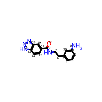 Nc1cccc(CCNC(=O)c2ccc3[nH]nnc3c2)c1